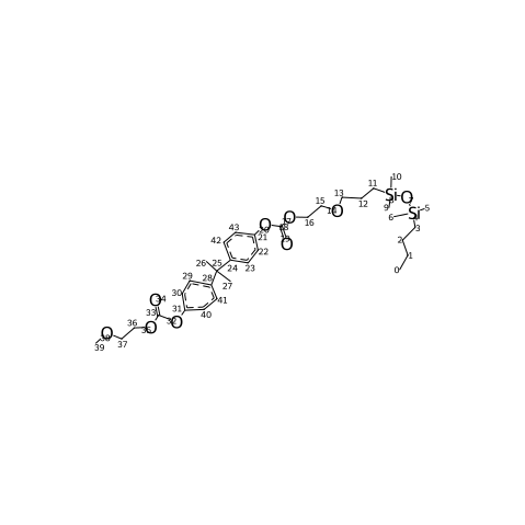 CCCC[Si](C)(C)O[Si](C)(C)CCCOCCOC(=O)Oc1ccc(C(C)(C)c2ccc(OC(=O)OCCOC)cc2)cc1